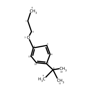 CC[CH]Oc1ccc(C(C)(C)C)cc1